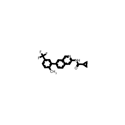 Cc1ccc(C(F)(F)F)cc1-c1ccc2cc(NC(=O)C3CC3)ncc2c1